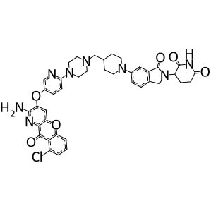 Nc1nc2c(=O)c3c(Cl)cccc3oc2cc1Oc1ccc(N2CCN(CC3CCN(c4ccc5c(c4)C(=O)N(C4CCC(=O)NC4=O)C5)CC3)CC2)nc1